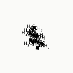 CN(C)S(=O)(=O)N(C)C[C@@H](NC(=O)N[C@H](C(=O)N1CC2(C[C@H]1C(=O)NC(CC1CCC1)C(=O)C(N)=O)C(C)(C)C21CCC1)C(C)(C)C)C(C)(C)C